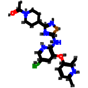 CC(=O)N1CCC(c2nsc(Nc3ncc(Br)cc3Oc3ccc(C)nc3C)n2)CC1